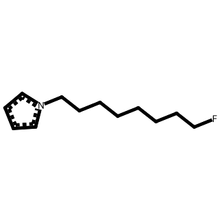 FCCCCCCCCn1cccc1